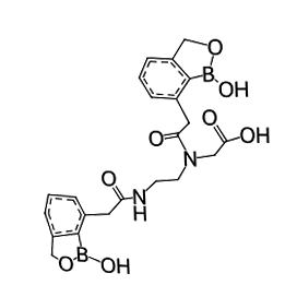 O=C(O)CN(CCNC(=O)Cc1cccc2c1B(O)OC2)C(=O)Cc1cccc2c1B(O)OC2